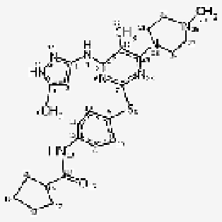 Cc1cc(Nc2nc(Sc3ccc(NC(=O)C4CCCC4)cc3)nc(N3CCN(C)CC3)c2C)n[nH]1